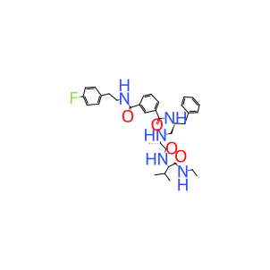 CCNC(=O)[C@@H](NC(=O)[C@H](C)NC[C@H](Cc1ccccc1)NC(=O)c1cccc(C(=O)NCCc2ccc(F)cc2)c1)C(C)C